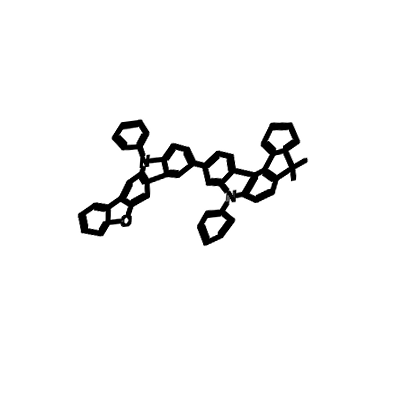 CC1(C)c2ccccc2-c2c1ccc1c2c2ccc(-c3ccc4c(c3)c3cc5oc6ccccc6c5cc3n4-c3ccccc3)cc2n1-c1ccccc1